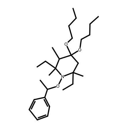 CCCCOC1(OCCCC)CC(C)(CC)N(OC(C)c2ccccc2)C(C)(CC)C1C